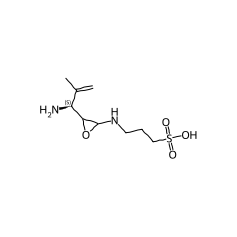 C=C(C)[C@H](N)C1OC1NCCCS(=O)(=O)O